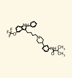 CC(C)C(=O)Nc1cccc(C2CCN(CCCCc3c(-c4ccccc4)[nH]c4ccc(OC(F)(F)F)cc34)CC2)c1